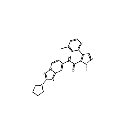 Cc1ccnc(-c2cnn(C)c2C(=O)Nc2ccn3nc(N4CCCC4)nc3c2)c1